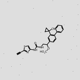 C#Cc1nc(NC(=O)NCC(OC(=O)O)c2ccc(-c3ccccc3)c(C3(C#N)CC3)c2)cs1